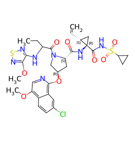 C=C[C@@H]1C[C@]1(NC(=O)[C@@H]1C[C@@H](Oc2ncc(OC)c3ccc(Cl)cc23)CN1C(=O)C(CC)Nc1nsnc1OC)C(=O)NS(=O)(=O)C1CC1